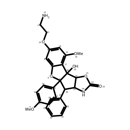 COc1ccc(C23Oc4cc(OCCN)cc(OC)c4C2(O)C2OC(=O)NC2C3c2ccccc2)cc1